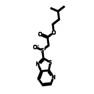 CC(C)CCOC(=O)C[S+]([O-])c1nc2cccnc2s1